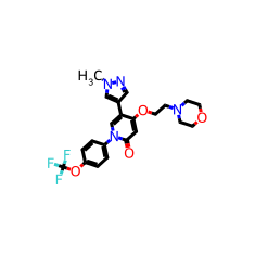 Cn1cc(-c2cn(-c3ccc(OC(F)(F)F)cc3)c(=O)cc2OCCN2CCOCC2)cn1